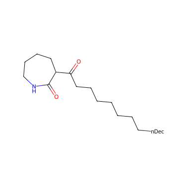 CCCCCCCCCCCCCCCCCC(=O)C1CCCCNC1=O